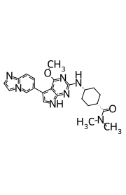 COc1nc(N[C@H]2CC[C@@H](C(=O)N(C)C)CC2)nc2[nH]cc(-c3ccc4nccn4c3)c12